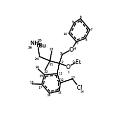 CCOC(COc1ccccc1)(c1c(CCl)ccc(C)c1C)C(C)(C)CC(C)(C)C.N